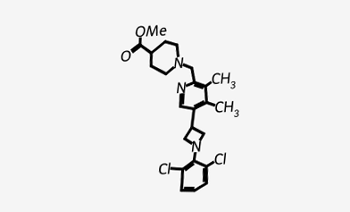 COC(=O)C1CCN(Cc2ncc(C3CN(c4c(Cl)cccc4Cl)C3)c(C)c2C)CC1